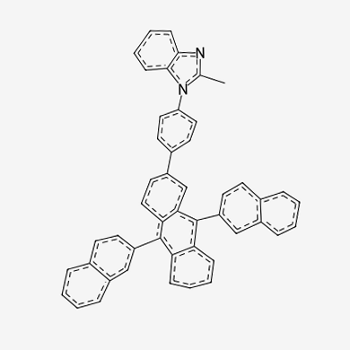 Cc1nc2ccccc2n1-c1ccc(-c2ccc3c(-c4ccc5ccccc5c4)c4ccccc4c(-c4ccc5ccccc5c4)c3c2)cc1